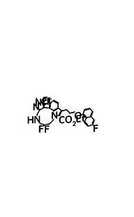 CCOC(=O)c1c(CCCOc2cccc3cc(F)ccc23)c2ccc(Cl)c3c2n1CCC(F)(F)CNCc1nn(C)c(CC)c1-3